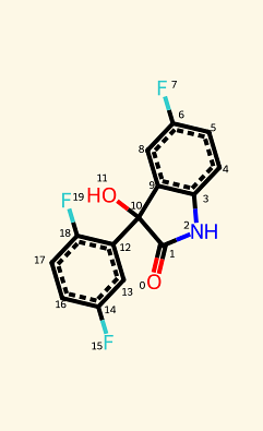 O=C1Nc2ccc(F)cc2C1(O)c1cc(F)ccc1F